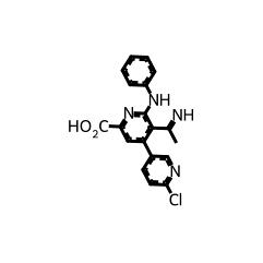 CC(=N)c1c(-c2ccc(Cl)nc2)cc(C(=O)O)nc1Nc1ccccc1